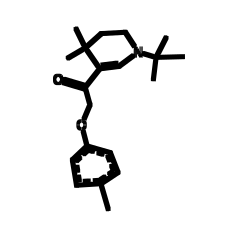 Cc1ccc(OCC(=O)C2=CN(C(C)(C)C)CCC2(C)C)cc1